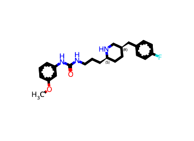 COc1cccc(NC(=O)NCCC[C@@H]2CC[C@H](Cc3ccc(F)cc3)CN2)c1